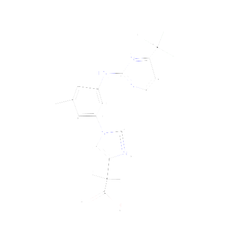 Cc1cc(Nc2nccc(C(F)(F)F)n2)cc(-n2cnc(C(C)(C)C(=O)O)c2)c1